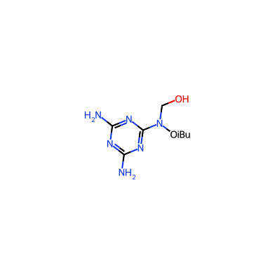 CC(C)CON(CO)c1nc(N)nc(N)n1